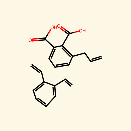 C=CCc1cccc(C(=O)O)c1C(=O)O.C=Cc1ccccc1C=C